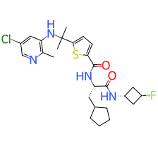 Cc1ncc(Cl)cc1NC(C)(C)c1ccc(C(=O)N[C@@H](CC2CCCC2)C(=O)N[C@H]2C[C@H](F)C2)s1